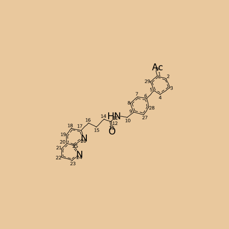 CC(=O)c1cccc(-c2ccc(CNC(=O)CCCc3ccc4cccnc4n3)cc2)c1